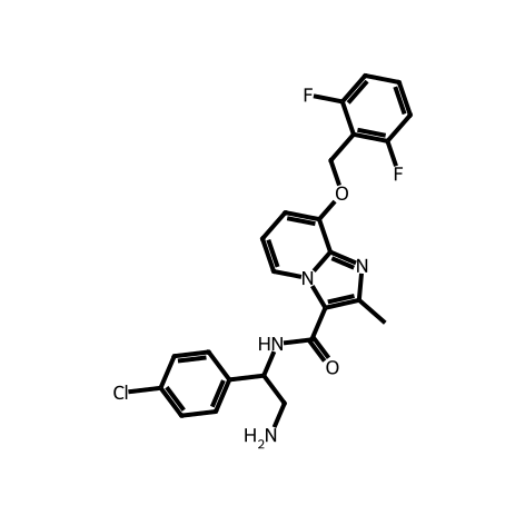 Cc1nc2c(OCc3c(F)cccc3F)cccn2c1C(=O)NC(CN)c1ccc(Cl)cc1